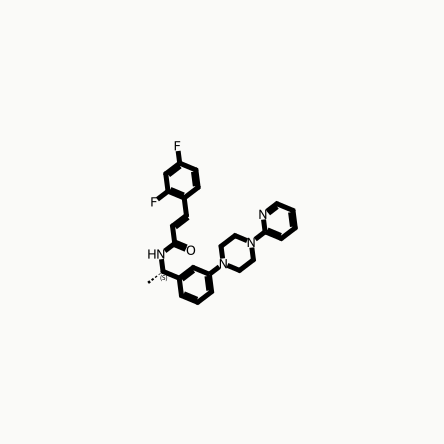 C[C@H](NC(=O)C=Cc1ccc(F)cc1F)c1cccc(N2CCN(c3ccccn3)CC2)c1